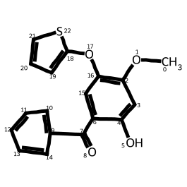 COc1cc(O)c(C(=O)c2ccccc2)cc1Oc1cccs1